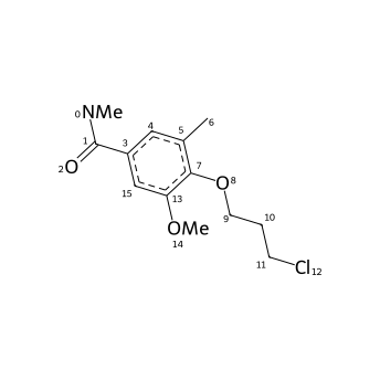 CNC(=O)c1cc(C)c(OCCCCl)c(OC)c1